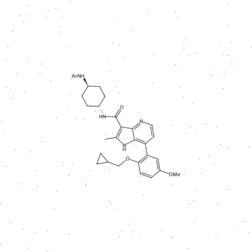 COc1ccc(OCC2CC2)c(-c2ccnc3c(C(=O)N[C@H]4CC[C@H](NC(C)=O)CC4)c(C)[nH]c23)c1